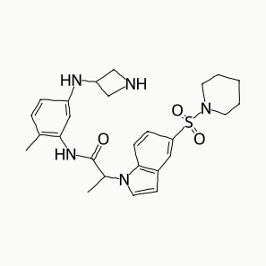 Cc1ccc(NC2CNC2)cc1NC(=O)C(C)n1ccc2cc(S(=O)(=O)N3CCCCC3)ccc21